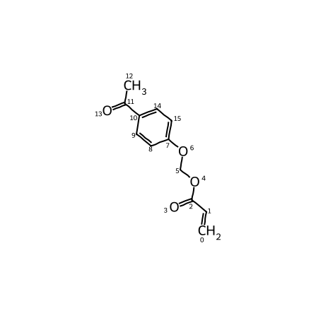 C=CC(=O)OCOc1ccc(C(C)=O)cc1